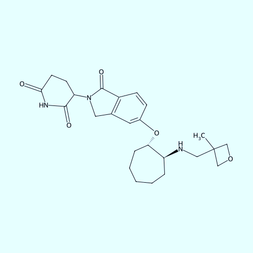 CC1(CN[C@H]2CCCCC[C@@H]2Oc2ccc3c(c2)CN(C2CCC(=O)NC2=O)C3=O)COC1